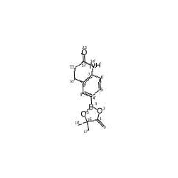 C=C1OB(c2ccc3c(c2)CCC(=O)N3)OC1(C)C